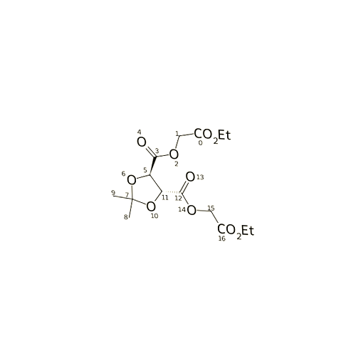 CCOC(=O)COC(=O)[C@@H]1OC(C)(C)O[C@H]1C(=O)OCC(=O)OCC